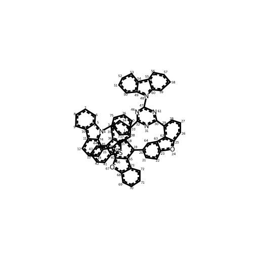 c1ccc(-n2c3ccccc3c3cccc(-c4ccc(-c5ccc6oc7cccc(-c8nc(-c9ccc%10c(c9)sc9ccccc9%10)nc(-n9c%10ccccc%10c%10ccccc%109)n8)c7c6c5)c5c4oc4ccccc45)c32)cc1